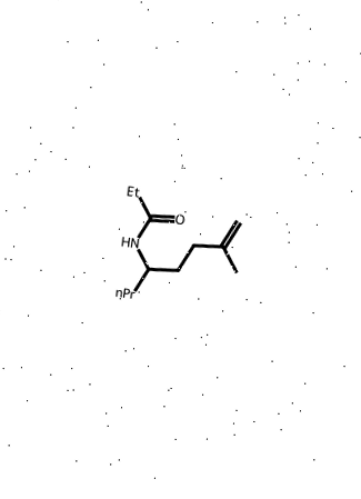 C=C(C)CCC(CCC)NC(=O)CC